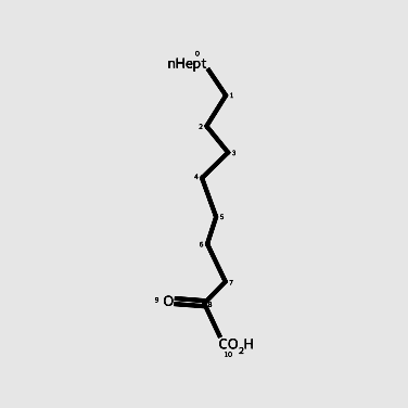 CCCCCCCCCCCCCCC(=O)C(=O)O